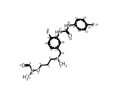 CN(CCCON(C)C=O)Cc1ccc(F)c(NC(=O)Nc2ccc(F)cc2)c1